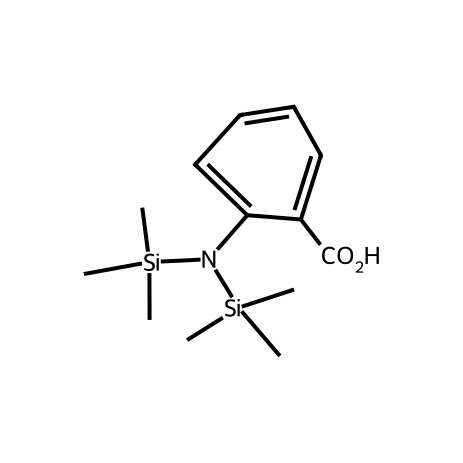 C[Si](C)(C)N(c1ccccc1C(=O)O)[Si](C)(C)C